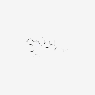 CNCC(=O)Nc1ccc(/N=N/c2ccccc2OC(=O)[C@@H](C)CO)c(N)n1